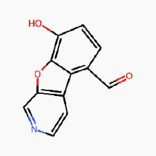 O=Cc1ccc(O)c2oc3cnccc3c12